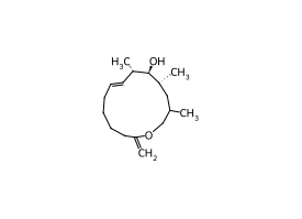 C=C1CCCC/C=C/[C@H](C)[C@@H](O)[C@H](C)CC(C)CO1